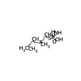 CC(C)=CCCC(C)=CCCC(C)=CCCC(C)=CSCC(NC=N)C(=O)O